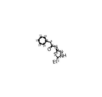 CCC1N[N]C(=NC(=O)Cc2ccccc2)S1